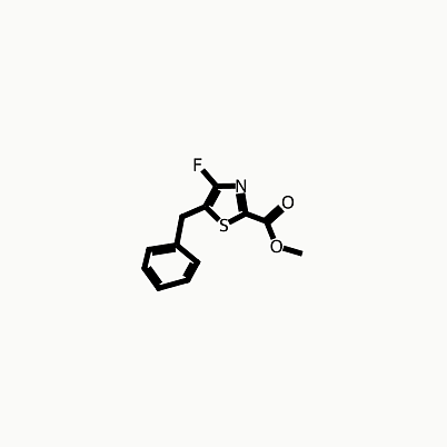 COC(=O)c1nc(F)c(Cc2ccccc2)s1